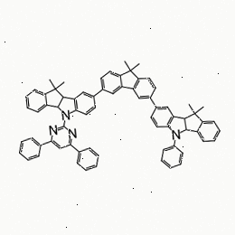 CC1(C)c2ccc(-c3ccc4c(c3)C3C(c5ccccc5C3(C)C)N4c3ccccc3)cc2-c2cc(-c3ccc4c(c3)C3C(c5ccccc5C3(C)C)N4c3nc(-c4ccccc4)cc(-c4ccccc4)n3)ccc21